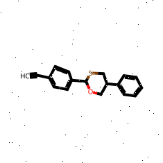 C#Cc1ccc(C2OCC(c3ccccc3)CS2)cc1